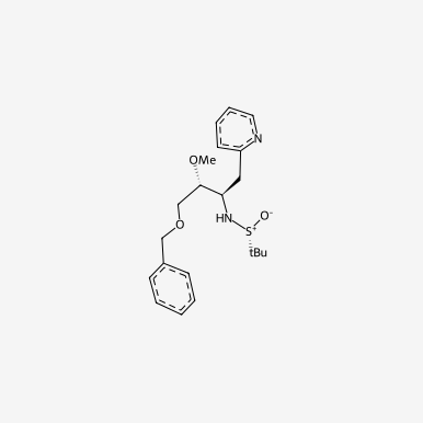 CO[C@@H](COCc1ccccc1)[C@@H](Cc1ccccn1)N[S@+]([O-])C(C)(C)C